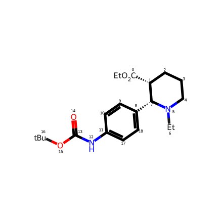 CCOC(=O)[C@@H]1CCCN(CC)[C@@H]1c1ccc(NC(=O)OC(C)(C)C)cc1